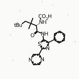 CC(C)(C)CC(C)(C)[C@H](NC(=O)O)C(=O)Nc1sc(-c2cnccn2)nc1-c1ccccc1